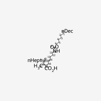 CCCCCCCCCCCCCCCCOC(=O)NCCCCCCC(C(=O)O)C(C)C(F)CCCCCCC